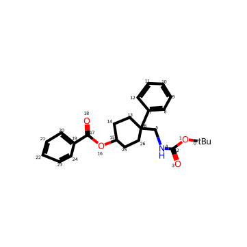 CC(C)(C)OC(=O)NCC1(c2ccccc2)CCC(OC(=O)c2ccccc2)CC1